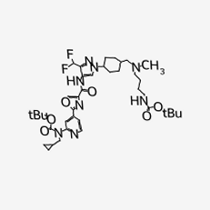 CN(CCCCNC(=O)OC(C)(C)C)CC1CCC(n2cc(NC(=O)c3coc(-c4ccnc(N(CC5CC5)C(=O)OC(C)(C)C)c4)n3)c(C(F)F)n2)CC1